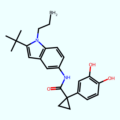 BCCn1c(C(C)(C)C)cc2cc(NC(=O)C3(c4ccc(O)c(O)c4)CC3)ccc21